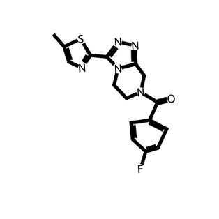 Cc1cnc(-c2nnc3n2CCN(C(=O)c2ccc(F)cc2)C3)s1